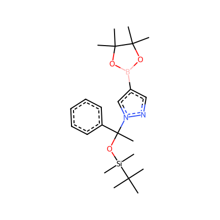 CC(O[Si](C)(C)C(C)(C)C)(c1ccccc1)n1cc(B2OC(C)(C)C(C)(C)O2)cn1